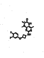 Cc1nc(N[C@H]2C[C@H](Oc3ccc(F)c(F)c3)C2)nc2c1NC(=O)[C@H](C)N2C